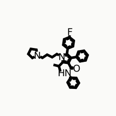 CC(C)c1c(C(=O)Nc2ccccc2)c(-c2ccccc2)c(-c2ccc(F)cc2)n1CCCCN1CCCC1